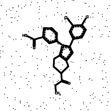 CCC(=O)C1CCc2c(cc(-c3ccc(Cl)c(Cl)c3)n2-c2cccc(C(=O)O)c2)C1